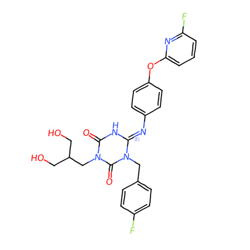 O=c1[nH]/c(=N\c2ccc(Oc3cccc(F)n3)cc2)n(Cc2ccc(F)cc2)c(=O)n1CC(CO)CO